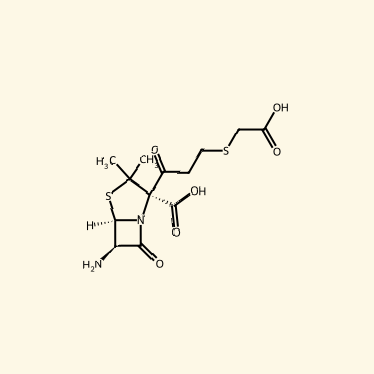 CC1(C)S[C@@H]2[C@H](N)C(=O)N2[C@]1(C(=O)O)C(=O)CCSCC(=O)O